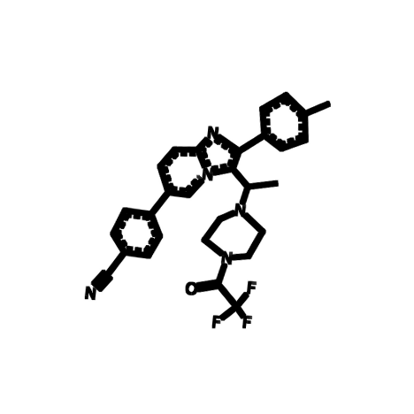 Cc1ccc(-c2nc3ccc(-c4ccc(C#N)cc4)cn3c2C(C)N2CCN(C(=O)C(F)(F)F)CC2)cc1